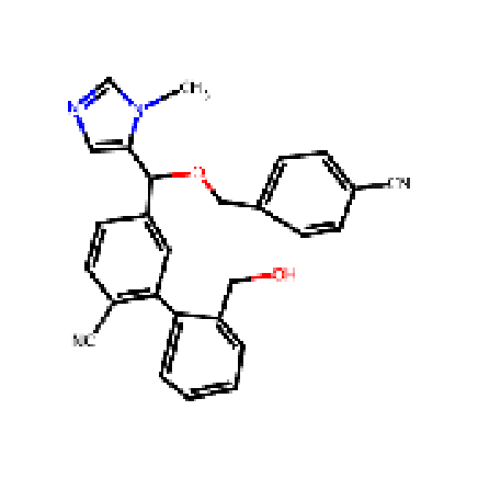 Cn1cncc1C(OCc1ccc(C#N)cc1)c1ccc(C#N)c(-c2ccccc2CO)c1